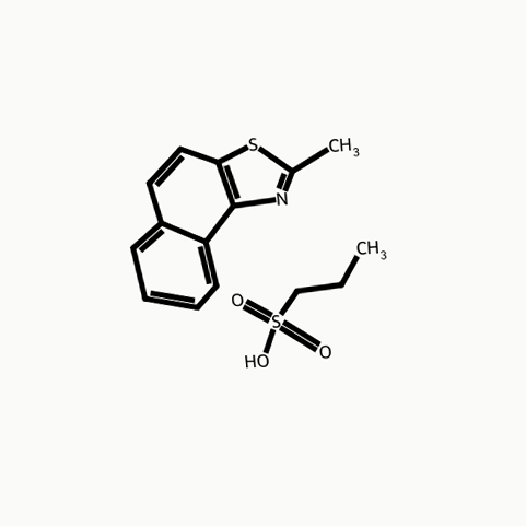 CCCS(=O)(=O)O.Cc1nc2c(ccc3ccccc32)s1